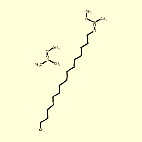 CCCCCCCCCCCCCCCCO[SiH](C)O[SiH3].C[SiH](C)O[SiH3]